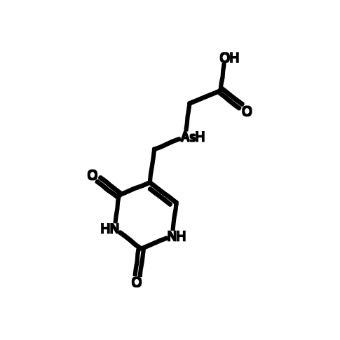 O=C(O)C[AsH]Cc1c[nH]c(=O)[nH]c1=O